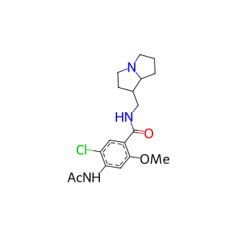 COc1cc(NC(C)=O)c(Cl)cc1C(=O)NCC1CCN2CCCC12